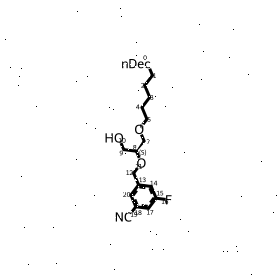 CCCCCCCCCCCCCCCOC[C@H](CO)OCc1cc(F)cc(C#N)c1